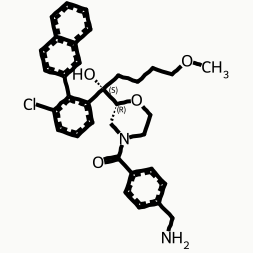 COCCCC[C@](O)(c1cccc(Cl)c1-c1ccc2ccccc2c1)[C@H]1CN(C(=O)c2ccc(CN)cc2)CCO1